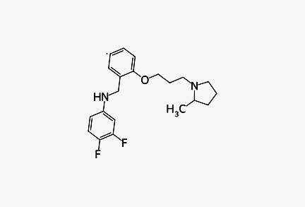 CC1CCCN1CCCOc1cc[c]cc1CNc1ccc(F)c(F)c1